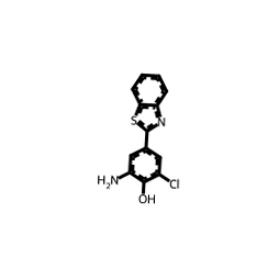 Nc1cc(-c2nc3ccccc3s2)cc(Cl)c1O